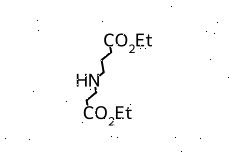 CCOC(=O)CCCNCCC(=O)OCC